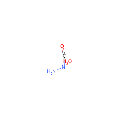 NN=C=O.O